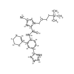 C[Si](C)(C)CCOCn1cc(C#N)nc1C(=O)Nc1ccc(-c2nnn[nH]2)cc1C1=CCCCC1